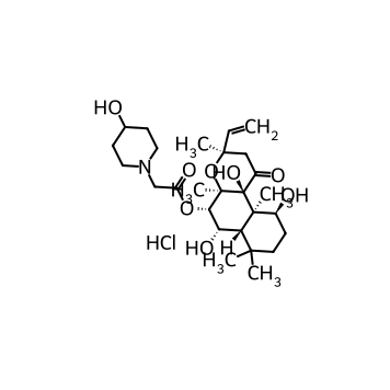 C=C[C@@]1(C)CC(=O)[C@]2(O)[C@@]3(C)[C@@H](O)CCC(C)(C)[C@@H]3[C@H](O)[C@H](OC(=O)CN3CCC(O)CC3)[C@@]2(C)O1.Cl